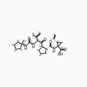 C=C[C@@H]1C[C@]1(NC(=O)[C@@H]1CCCN1C(=O)[C@@H](NC(=O)NC1(C)CCCC1)C(=C)C)C(=O)O